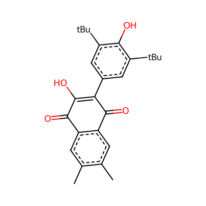 Cc1cc2c(cc1C)C(=O)C(c1cc(C(C)(C)C)c(O)c(C(C)(C)C)c1)=C(O)C2=O